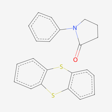 O=C1CCCN1c1ccccc1.c1ccc2c(c1)Sc1ccccc1S2